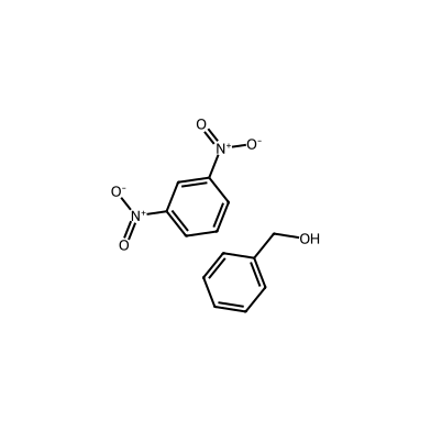 O=[N+]([O-])c1cccc([N+](=O)[O-])c1.OCc1ccccc1